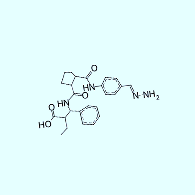 CCC(C(=O)O)C(NC(=O)C1CCCC1C(=O)Nc1ccc(C=NN)cc1)c1ccccc1